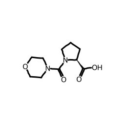 O=C(O)[C@@H]1CCCN1C(=O)N1CCOCC1